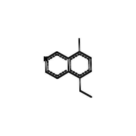 CCc1ccc(C)c2cnccc12